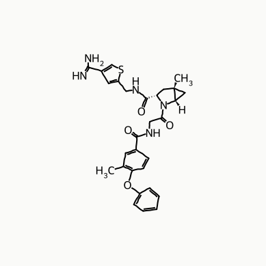 Cc1cc(C(=O)NCC(=O)N2[C@H]3C[C@@]3(C)C[C@H]2C(=O)NCc2cc(C(=N)N)cs2)ccc1Oc1ccccc1